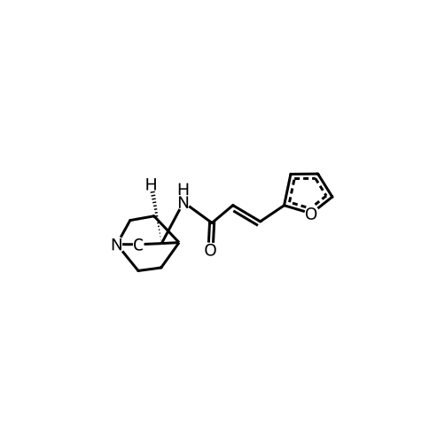 O=C(/C=C/c1ccco1)N[C@@H]1CN2CCC1CC2